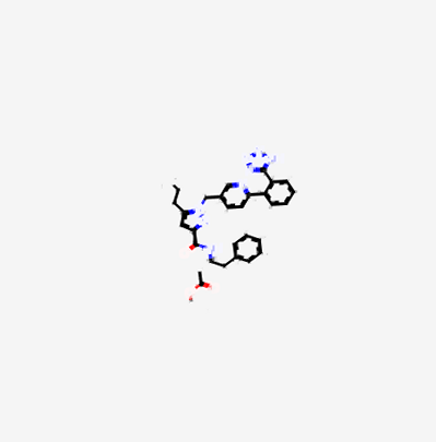 CCCc1cc(C(=O)N[C@@H](CC(=O)OC)Cc2ccccc2)nn1Cc1ccc(-c2ccccc2-c2nnn[nH]2)nc1